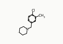 Cc1cc(CN2CC[CH]CC2)ccc1Cl